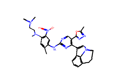 Cc1nnc(-c2cnc(Nc3cc([N+](=O)[O-])c(N(C)CCN(C)C)cc3C)nc2-c2cn3c4c(cccc24)CCC3)o1